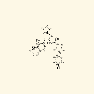 O=C(NC(Cc1ccc2c(c1F)OCCO2)CN1CCCC1)[C@@H]1CCN(c2ccc(Cl)cc2)C1